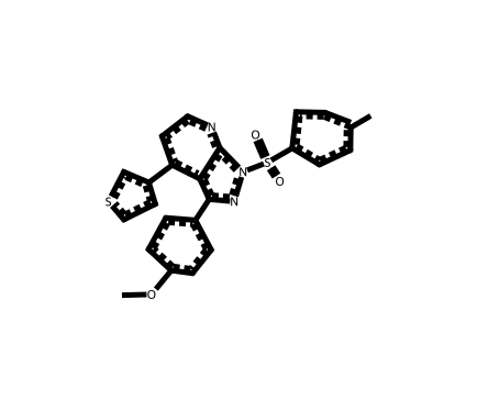 COc1ccc(-c2nn(S(=O)(=O)c3ccc(C)cc3)c3nccc(-c4ccsc4)c23)cc1